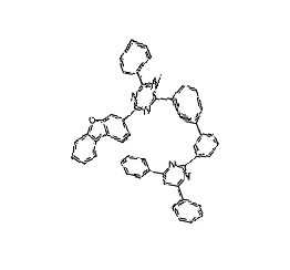 c1ccc(-c2cc(-c3ccccc3)nc(-c3cccc(-c4cccc(-c5nc(-c6ccccc6)nc(-c6ccc7c(c6)oc6ccccc67)n5)c4)c3)n2)cc1